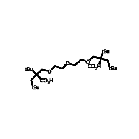 CC(C)(C)CC(COCCOCCOCC(CC(C)(C)C)(C(=O)O)C(C)(C)C)(C(=O)O)C(C)(C)C